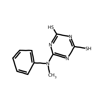 CN(c1ccccc1)c1nc(S)nc(S)n1